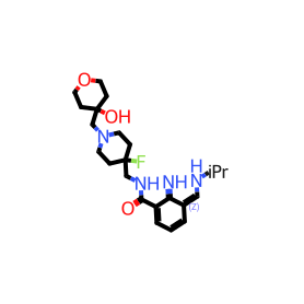 CC(C)N/C=C1/C=CC=C(C(=O)NCC2(F)CCN(CC3(O)CCOCC3)CC2)C1=N